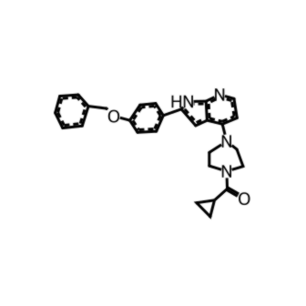 O=C(C1CC1)N1CCN(c2ccnc3[nH]c(-c4ccc(OCc5ccccc5)cc4)cc23)CC1